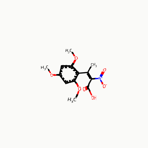 COc1cc(OC)c(C(C)=C(C(=O)O)[N+](=O)[O-])c(OC)c1